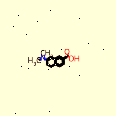 CN(C)C1=Cc2cc(C(=O)O)ccc2CC1